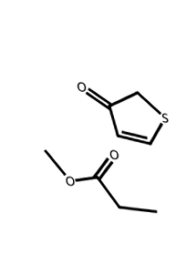 CCC(=O)OC.O=C1C=CSC1